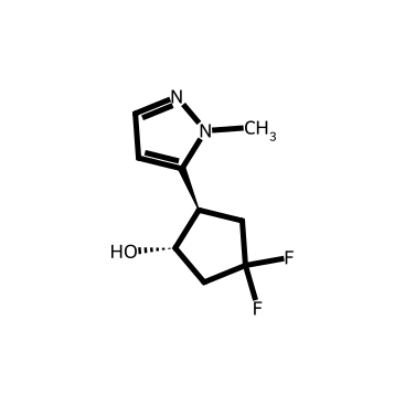 Cn1nccc1[C@H]1CC(F)(F)C[C@@H]1O